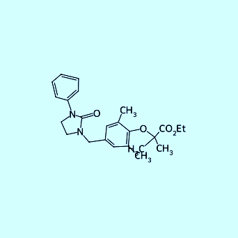 CCOC(=O)C(C)(C)Oc1c(C)cc(CN2CCN(c3ccccc3)C2=O)cc1C